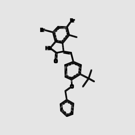 Cc1c(Br)cc(Br)c2c1C(=Cc1ccc(OCc3ccccc3)c(C(C)(C)C)c1)C(=O)N2